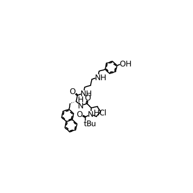 CC(C)(C)C(=O)N1CCCC1C(=O)N[C@H](Cc1ccc2ccccc2c1)C(=O)NCCCNCc1ccc(O)cc1.Cl